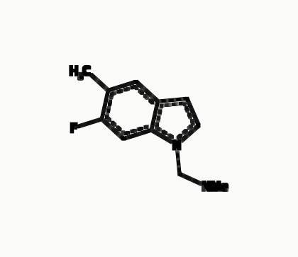 CNCn1ccc2cc(C)c(F)cc21